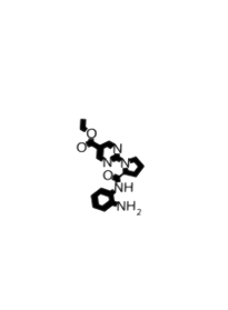 CCOC(=O)c1cnc(N2CCC[C@H]2C(=O)Nc2ccccc2N)nc1